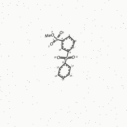 COS(=O)(=O)c1cccc(S(=O)(=O)c2ccccc2)c1